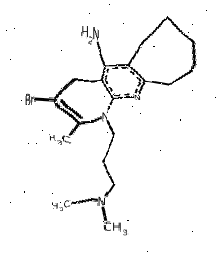 CC1=C(Br)Cc2c(nc3c(c2N)CCCCC3)N1CCCN(C)C